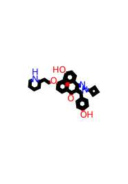 O=C(c1ccc(OCCC2CCCCN2)cc1)c1c(-c2ccc(O)cc2)nn(C2CCC2)c1-c1ccc(O)cc1